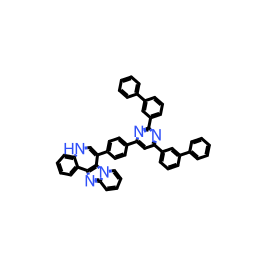 C1=C(c2ccc(-c3cc(-c4cccc(-c5ccccc5)c4)nc(-c4cccc(-c5ccccc5)c4)n3)cc2)c2c(nc3ccccn23)-c2ccccc2N1